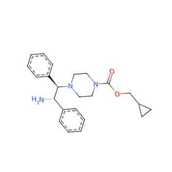 N[C@@H](c1ccccc1)[C@@H](c1ccccc1)N1CCN(C(=O)OCC2CC2)CC1